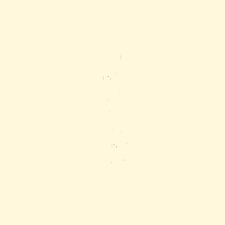 CC(O)(C(=O)Nc1ccc(S(=O)(=O)c2ccc(C(=O)Nc3ccccc3)cc2)cc1Cl)C(F)(F)F